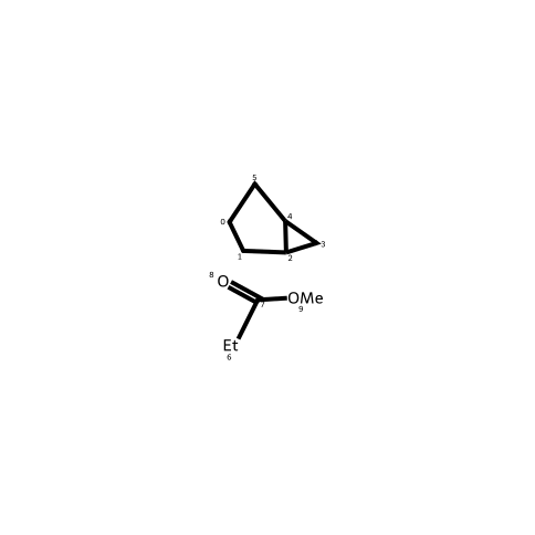 C1CC2CC2C1.CCC(=O)OC